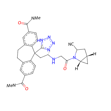 CNC(=O)c1ccc2c(c1)CCc1cc(C(=O)NC)ccc1C2(C[C@H](C)NCC(=O)N1C(C#N)C[C@@H]2C[C@@H]21)c1nnn[nH]1